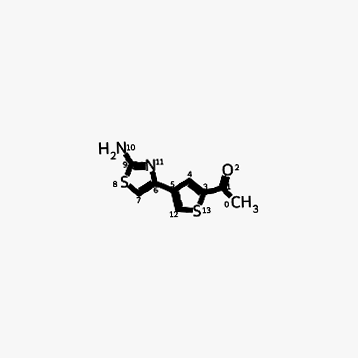 CC(=O)c1cc(-c2csc(N)n2)cs1